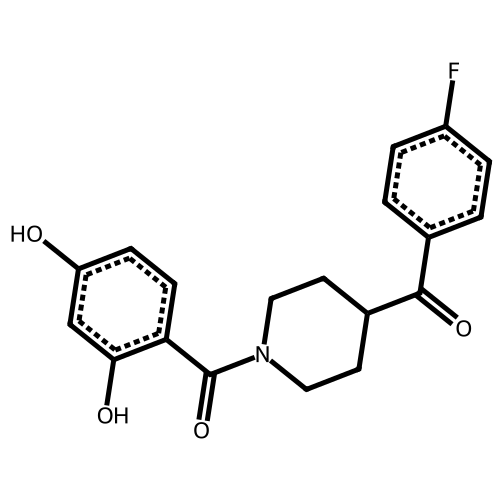 O=C(c1ccc(F)cc1)C1CCN(C(=O)c2ccc(O)cc2O)CC1